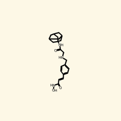 O=C(C=Cc1ccc(CNCC(=O)NC23CC4CC(CC(C4)C2)C3)cc1)NO